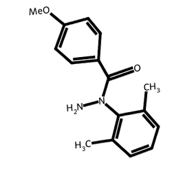 COc1ccc(C(=O)N(N)c2c(C)cccc2C)cc1